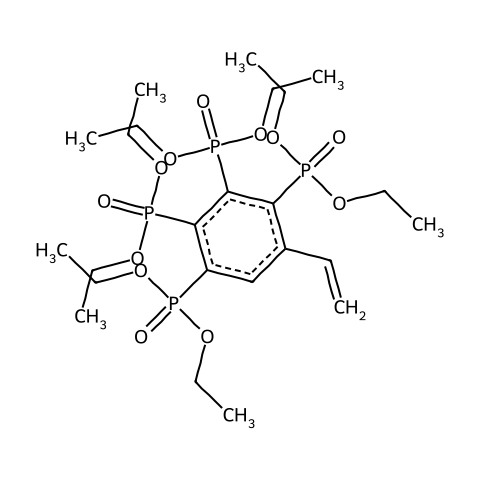 C=Cc1cc(P(=O)(OCC)OCC)c(P(=O)(OCC)OCC)c(P(=O)(OCC)OCC)c1P(=O)(OCC)OCC